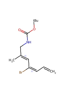 C=C/C=C(Br)\C=C(/C)CNC(=O)OC(C)(C)C